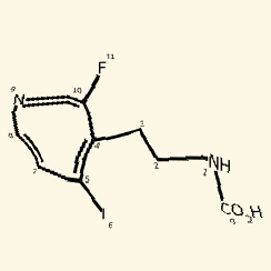 O=C(O)NCCc1c(I)ccnc1F